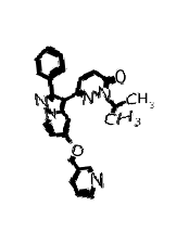 CC(C)n1nc(-c2c(-c3ccccc3)nn3ccc(OCc4cccnc4)cc23)ccc1=O